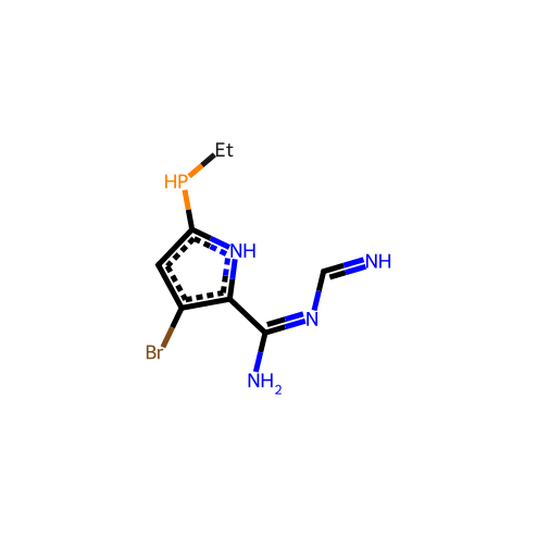 CCPc1cc(Br)c(/C(N)=N\C=N)[nH]1